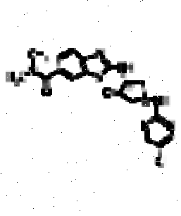 CN(C)C(=O)c1ccc2nc(N[C@@H]3C[C@@H](Nc4ncc(Cl)cn4)CC3=O)sc2c1